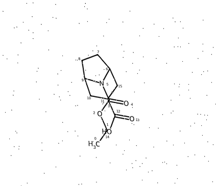 CCOC(=O)N1C2CCC1CC(C(=O)O)C2